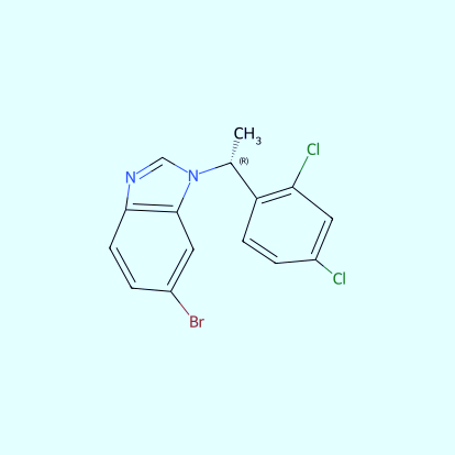 C[C@H](c1ccc(Cl)cc1Cl)n1cnc2ccc(Br)cc21